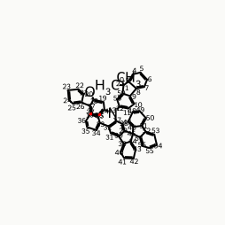 CC1(C)c2ccccc2-c2ccc(N(c3ccc4c(c3)oc3ccccc34)c3cc4c(cc3-c3ccccc3)-c3ccccc3C43c4ccccc4-c4ccccc43)cc21